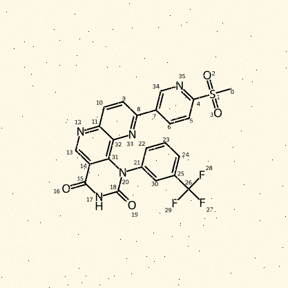 CS(=O)(=O)c1ccc(-c2ccc3ncc4c(=O)[nH]c(=O)n(-c5cccc(C(F)(F)F)c5)c4c3n2)cn1